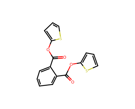 O=C(Oc1cccs1)c1ccccc1C(=O)Oc1cccs1